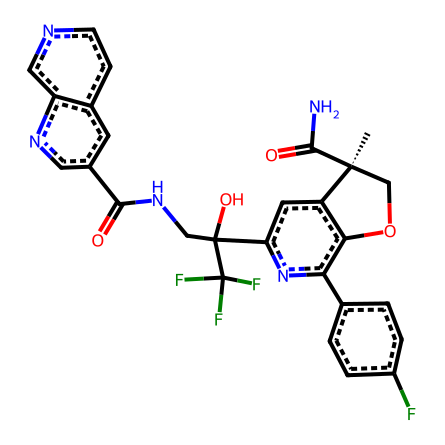 C[C@]1(C(N)=O)COc2c1cc(C(O)(CNC(=O)c1cnc3cnccc3c1)C(F)(F)F)nc2-c1ccc(F)cc1